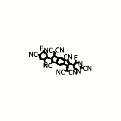 N#CC(C#N)=C1C(c2cc(F)c(C#N)cc2F)=C(C#N)c2cc3c(cc21)C(C#N)=C(c1cnc(C#N)nc1F)C3=C(C#N)C#N